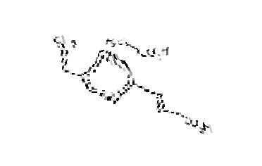 C=Cc1ccc(C=CC(=O)O)cc1.CC(=O)O